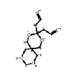 O=CCC1(CC=O)OCC2(COCOC2)CO1